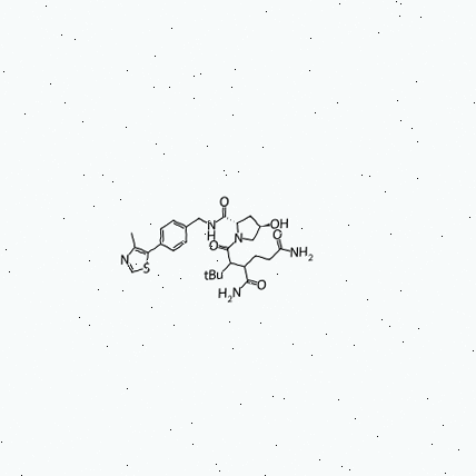 Cc1ncsc1-c1ccc(CNC(=O)[C@@H]2C[C@@H](O)CN2C(=O)C(C(CCC(N)=O)C(N)=O)C(C)(C)C)cc1